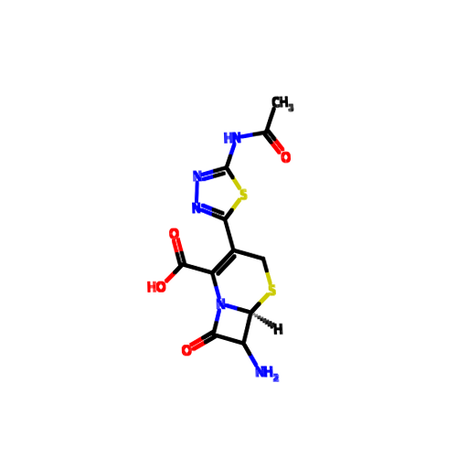 CC(=O)Nc1nnc(C2=C(C(=O)O)N3C(=O)C(N)[C@@H]3SC2)s1